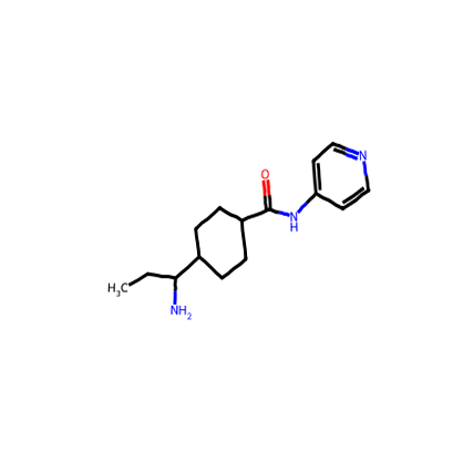 CCC(N)C1CCC(C(=O)Nc2ccncc2)CC1